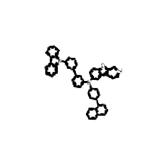 c1cc(-c2cccc(-n3c4ccccc4c4ccccc43)c2)cc(N(c2ccc(-c3cccc4ccccc34)cc2)c2ccc3oc4cnccc4c3c2)c1